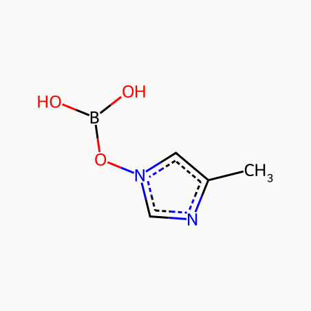 Cc1cn(OB(O)O)cn1